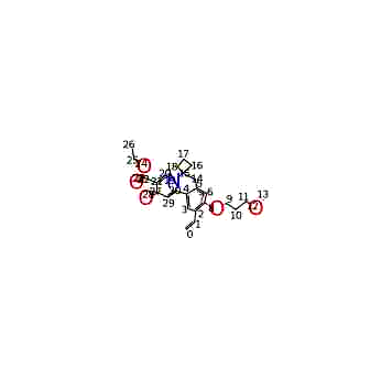 C=Cc1cc2c(cc1OCCCOC)CC1(CCC1)n1cc(C(=O)OCC)c(=O)cc1-2